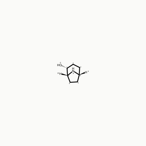 O[C@@H]1CC[C@@H]2CC[C@H]1N2